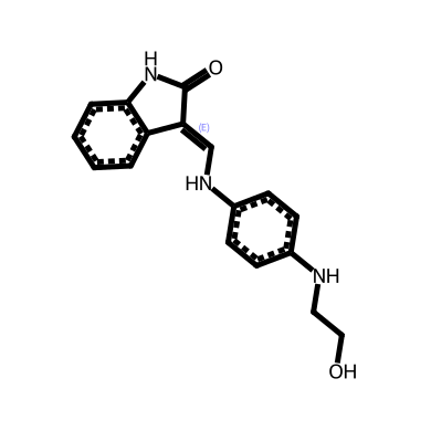 O=C1Nc2ccccc2/C1=C\Nc1ccc(NCCO)cc1